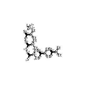 CCN(CC)C(=S)[S-].CCN(CC)C(=S)[S-].CCN(CC)C(=S)[S-].CCN(CC)C(=S)[S-].CCN(CC)C(=S)[S-].[La+3].[Zn+2]